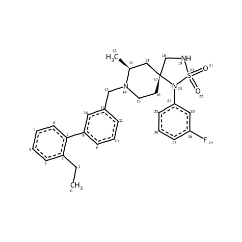 CCc1ccccc1-c1cccc(CN2CC[C@]3(CNS(=O)(=O)N3c3cccc(F)c3)C[C@@H]2C)c1